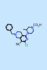 CC1CN(C(=O)O)CCN1c1nc(Cl)c(C#N)c2c1CCN(Cc1ccccc1)C2